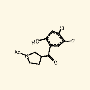 CC(=O)N1CCC(C(=O)c2cc(Cl)c(Cl)cc2O)C1